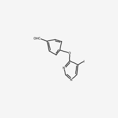 O=Cc1ccc(Oc2ncncc2I)cc1